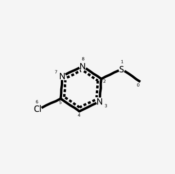 CSc1ncc(Cl)nn1